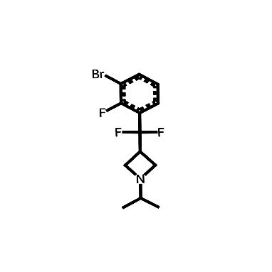 CC(C)N1CC(C(F)(F)c2cccc(Br)c2F)C1